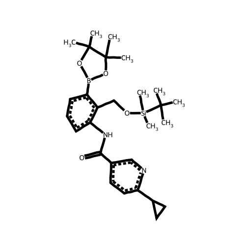 CC1(C)OB(c2cccc(NC(=O)c3ccc(C4CC4)nc3)c2CO[Si](C)(C)C(C)(C)C)OC1(C)C